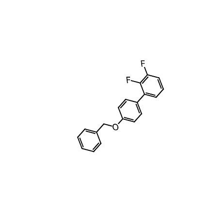 Fc1cccc(-c2ccc(OCc3ccccc3)cc2)c1F